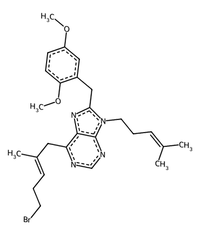 COc1ccc(OC)c(Cc2nc3c(CC(C)=CCCBr)ncnc3n2CCC=C(C)C)c1